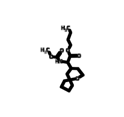 CCCCOC(=O)C(NC(=O)OC)C1CCOC2(CCCC2)C1